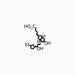 CCC1CCC([C@@H](O)C=C[C@@H]2[C@H]3CC(=CCCCC(=O)O)C[C@@H]3C[C@H]2O)C1